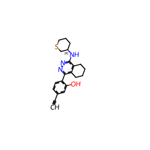 C#Cc1ccc(-c2nnc(N[C@@H]3CCCSC3)c3c2CCCC3)c(O)c1